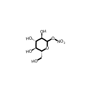 O=[N+]([O-])OC1O[C@H](CO)[C@@H](O)[C@H](O)[C@H]1O